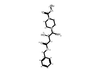 CC(C)(C)OC(=O)N1CCN(C(N)[C@H](O)CC(=O)OCc2ccccc2)CC1